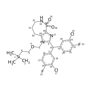 C[Si](C)(C)CCOCn1c(C(c2ccc(F)c(Cl)c2)c2ccc(F)c(Cl)c2)nc2c1CCCNS2(=O)=O